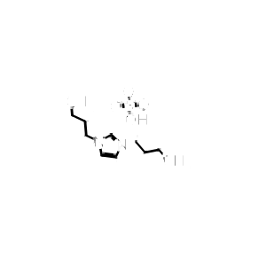 CCCCn1cc[n+](CCCC)c1.O=S(=O)([O-])O